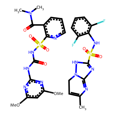 CC1=CCN2NC(S(=O)(=O)Nc3c(F)cccc3F)=NC2=N1.COc1cc(OC)nc(NC(=O)NS(=O)(=O)c2ncccc2C(=O)N(C)C)n1